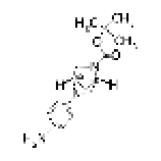 CC(C)(C)OC(=O)N1C[C@@H]2C[C@H]1CN2c1ccc(N)cc1